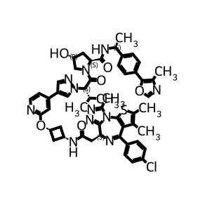 Cc1ncoc1-c1ccc([C@H](C)NC(=O)[C@@H]2C[C@@H](O)CN2C(=O)[C@H](C(C)C)n2cc(-c3ccnc(O[C@H]4C[C@@H](NC(=O)C[C@@H]5N=C(c6ccc(Cl)cc6)c6c(sc(C)c6C)-n6c(C)nnc65)C4)c3)cn2)cc1